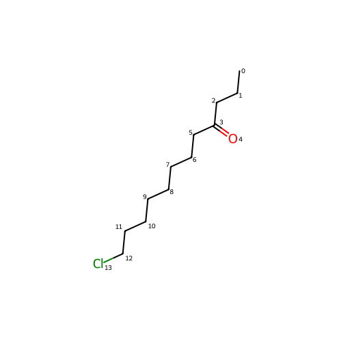 CCCC(=O)CCCCCCCCCl